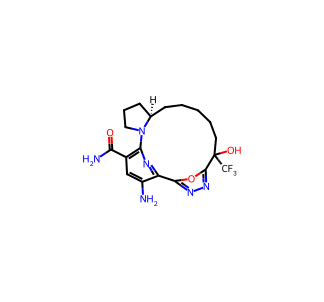 NC(=O)c1cc(N)c2nc1N1CCC[C@H]1CCCCCC(O)(C(F)(F)F)c1nnc-2o1